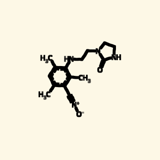 Cc1cc(C)c(NCCN2CCNC2=O)c(C)c1C#[N+][O-]